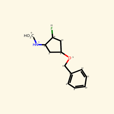 O=C(O)NC1CC(OCc2ccccc2)CC1F